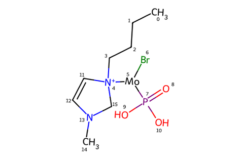 CCCC[N+]1([Mo]([Br])[P](=O)(O)O)C=CN(C)C1